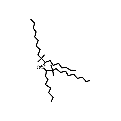 CCCCCCCCCC(C)(C)C(CCCCCCC)[S+]([O-])C(CCCCCCC)C(C)(C)CCCCCCCCC